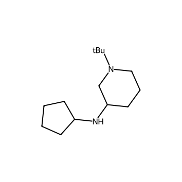 CC(C)(C)N1CCCC(NC2CCCC2)C1